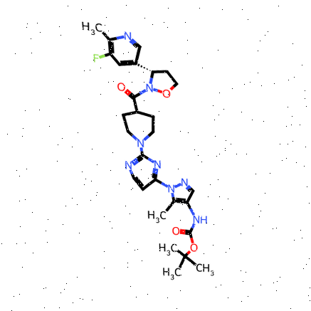 Cc1ncc([C@@H]2CCON2C(=O)C2CCN(c3nccc(-n4ncc(NC(=O)OC(C)(C)C)c4C)n3)CC2)cc1F